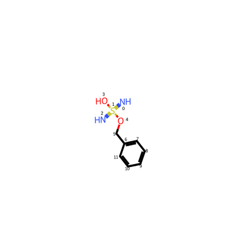 N=S(=N)(O)OCc1ccccc1